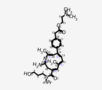 CCCN(CCCO)C(=O)/C1=C/C(C)=C/C=C(c2ccc(CC(=O)OCCN(C)C)cc2)\C=C(C)\N=C(\N)C1